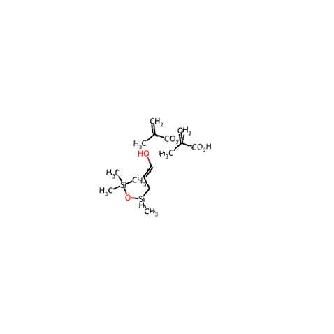 C=C(C)C(=O)O.C=C(C)C(=O)O.C[SiH](CC=CO)O[Si](C)(C)C